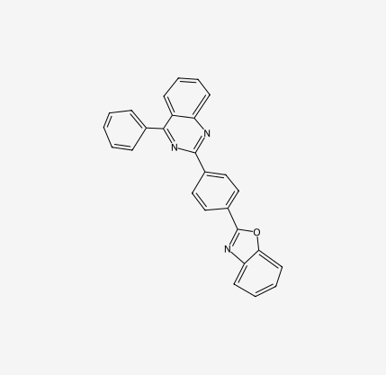 c1ccc(-c2nc(-c3ccc(-c4nc5ccccc5o4)cc3)nc3ccccc23)cc1